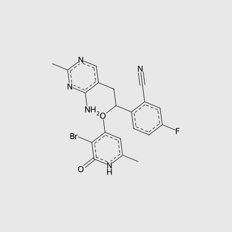 Cc1ncc(CC(Oc2cc(C)[nH]c(=O)c2Br)c2ccc(F)cc2C#N)c(N)n1